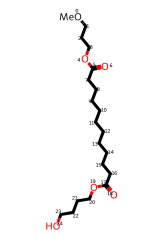 COCCCOC(=O)CCCCCCCCCCC(=O)OCCCCO